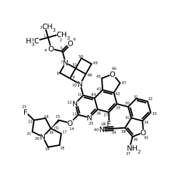 CC(C)(C)OC(=O)N1CC2N(c3nc(OC[C@@]45CCCN4CC(F)C5)nc4c(F)c(-c5cccc6oc(N)c(C#N)c56)c5c(c34)COC5)C3CCC321